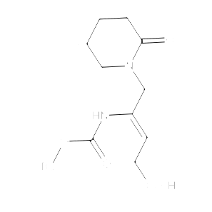 CC(C)(C)OC(=O)N/C(=C\CC(=O)O)CN1C[C@H](F)CCC1=O